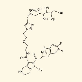 CCCCCCN(Cc1cn(CCOCCNC(=O)C2=C3CNCCN3C(C(F)(F)F)N2C(=O)C[C@H](N)Cc2cc(F)c(F)cc2F)nn1)CC(O)C(O)C(O)C(O)CO